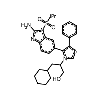 CC(C)S(=O)(=O)n1c(N)nc2ccc(-c3c(-c4ccccc4)ncn3C(CO)CC3CCCCC3)cc21